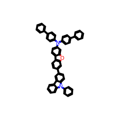 c1ccc(-c2ccc(N(c3ccc(-c4ccccc4)cc3)c3ccc4c(c3)oc3cc(-c5ccc6c(c5)c5ccccc5n6-c5ccccc5)ccc34)cc2)cc1